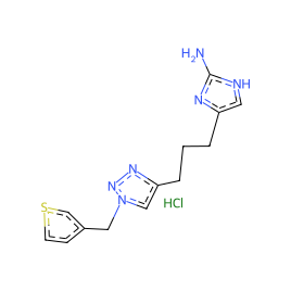 Cl.Nc1nc(CCCc2cn(Cc3ccsc3)nn2)c[nH]1